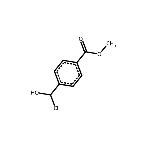 COC(=O)c1ccc(C(O)Cl)cc1